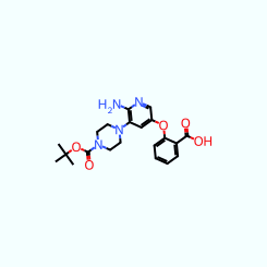 CC(C)(C)OC(=O)N1CCN(c2cc(Oc3ccccc3C(=O)O)cnc2N)CC1